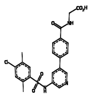 Cc1cc(S(=O)(=O)Nc2cncc(-c3ccc(C(=O)NCC(=O)O)cc3)c2)c(C)cc1Cl